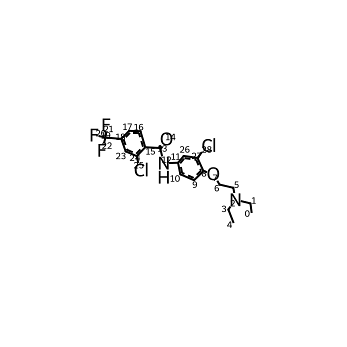 CCN(CC)CCOc1ccc(NC(=O)c2ccc(C(F)(F)F)cc2Cl)cc1Cl